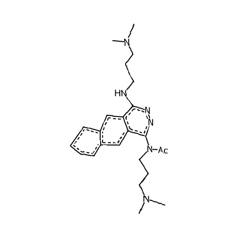 CC(=O)N(CCCN(C)C)c1nnc(NCCCN(C)C)c2cc3ccccc3cc12